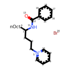 CCCCCCCCC(CCC[n+]1ccccc1)NC(=O)c1ccccc1.[Br-]